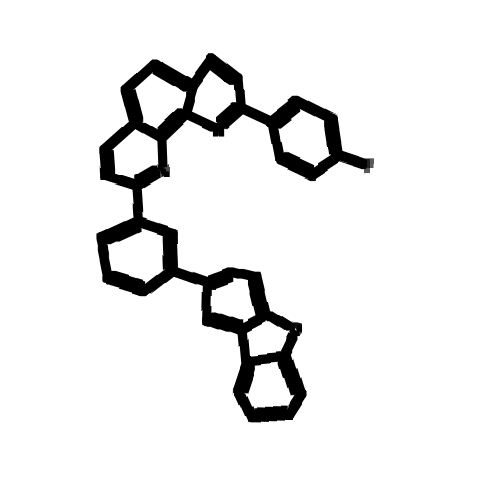 Fc1ccc(-c2ccc3ccc4ccc(-c5cccc(-c6ccc7oc8ccccc8c7c6)c5)nc4c3n2)cc1